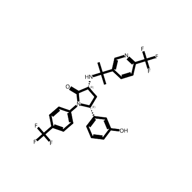 CC(C)(N[C@@H]1C[C@H](c2cccc(O)c2)N(c2ccc(C(F)(F)F)cc2)C1=O)c1ccc(C(F)(F)F)nc1